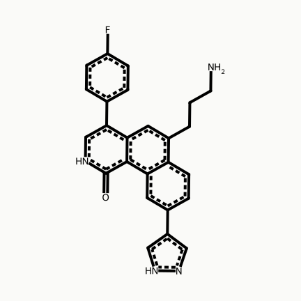 NCCCc1cc2c(-c3ccc(F)cc3)c[nH]c(=O)c2c2cc(-c3cn[nH]c3)ccc12